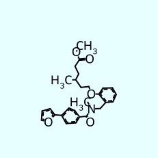 COC(=O)CCC(C)CCOc1ccccc1CN(C)C(=O)c1ccc(-c2ccco2)cc1